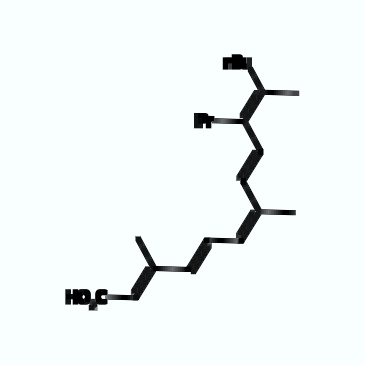 CCCC/C(C)=C(/C=C/C(C)=C\C=C\C(C)=C\C(=O)O)C(C)C